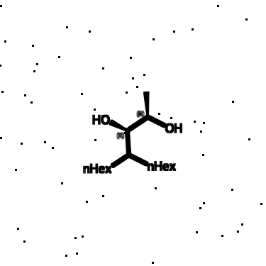 CCCCCCC(CCCCCC)[C@@H](O)[C@@H](C)O